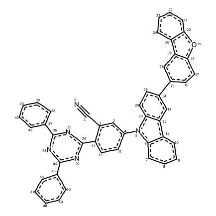 N#Cc1cc(-n2c3ccccc3c3cc(-c4ccc5oc6ccccc6c5c4)ccc32)ccc1-c1nc(-c2ccccc2)nc(-c2ccccc2)n1